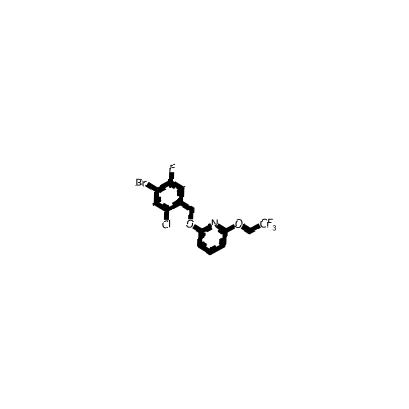 Fc1cc(COc2cccc(OCC(F)(F)F)n2)c(Cl)cc1Br